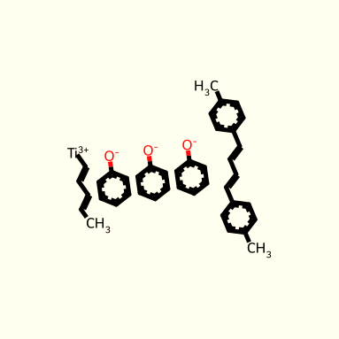 CC=CC=[CH][Ti+3].Cc1ccc(C=CC=Cc2ccc(C)cc2)cc1.[O-]c1ccccc1.[O-]c1ccccc1.[O-]c1ccccc1